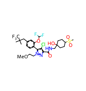 COCCn1nc(C(=O)NCC2(O)CCC(S(C)(=O)=O)CC2)c(Cl)c1-c1ccc(CC(C)(C)C(F)(F)F)cc1OC(F)F